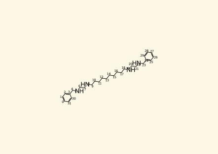 c1ccc(CNCCNCCCCCCCCCCNCCNCc2ccccc2)cc1